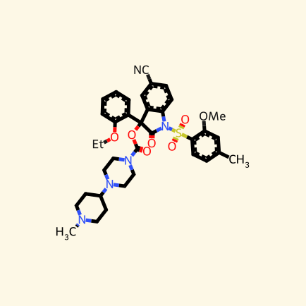 CCOc1ccccc1C1(OC(=O)N2CCN(C3CCN(C)CC3)CC2)C(=O)N(S(=O)(=O)c2ccc(C)cc2OC)c2ccc(C#N)cc21